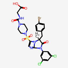 C[C@@]1(Cc2ccc(Br)cc2)C(=O)N(c2cc(Cl)cc(Cl)c2)c2ncc(S(=O)(=O)N3CCN(C(=O)NCC(=O)O)CC3)n21